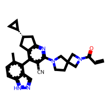 C=CC(=O)N1CC2(CCN(c3nc4c(c(-c5c(C)ccc6[nH]ncc56)c3C#N)C[C@H](C3CC3)C4)C2)C1